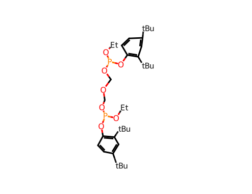 CCOP(OCOCOP(OCC)Oc1ccc(C(C)(C)C)cc1C(C)(C)C)Oc1ccc(C(C)(C)C)cc1C(C)(C)C